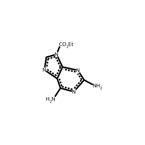 CCOC(=O)n1cnc2c(N)nc(N)nc21